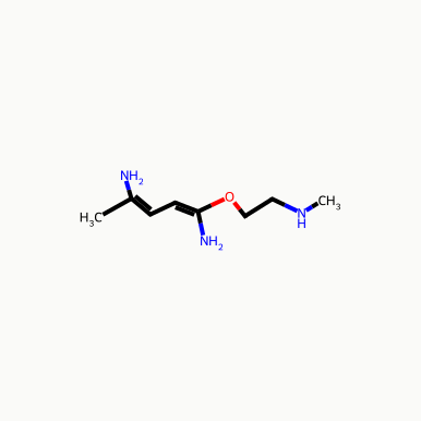 CNCCO/C(N)=C/C=C(/C)N